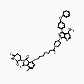 Nc1ncnc2c1c(-c1ccc(Oc3ccccc3)cc1)nn2C1CCN(C(=O)CCCCCCSc2ccc(F)c3c2C(=O)N(C2CCC(=O)NC2=O)C3=O)CC1